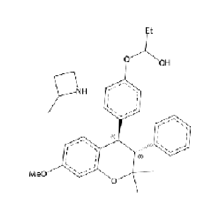 CC1CCN1.CCC(O)Oc1ccc([C@@H]2c3ccc(OC)cc3OC(C)(C)[C@H]2c2ccccc2)cc1